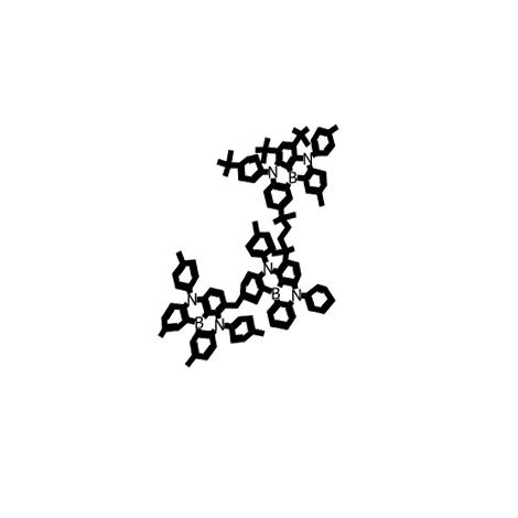 Cc1ccc(N2c3ccc(C)cc3B3c4cc(C)ccc4N(c4ccc(C)cc4)c4c(Cc5ccc6c(c5)B5c7ccccc7N(c7ccccc7)c7ccc(C(C)(C)CCC(C)(C)c8ccc9c(c8)B8c%10cc(C)ccc%10N(c%10ccc(C)cc%10)c%10c(C(C)(C)C)cc(C(C)(C)C)c(c%108)N9c8ccc(C(C)(C)C)cc8)c(c75)N6c5ccc(C)cc5)ccc2c43)cc1